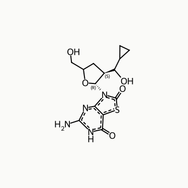 Nc1nc2c(sc(=O)n2[C@@H]2OC(CO)C[C@H]2C(O)C2CC2)c(=O)[nH]1